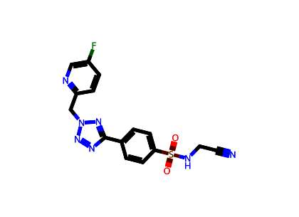 N#CCNS(=O)(=O)c1ccc(-c2nnn(Cc3ccc(F)cn3)n2)cc1